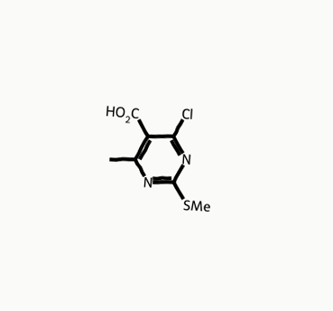 CSc1nc(C)c(C(=O)O)c(Cl)n1